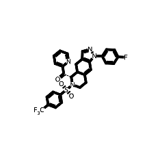 O=C(c1ccccn1)[C@@H]1C2Cc3cnn(-c4ccc(F)cc4)c3C=C2CCN1S(=O)(=O)c1ccc(C(F)(F)F)cc1